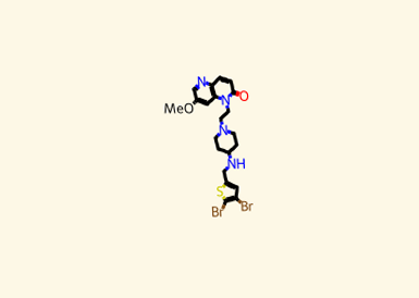 COc1cnc2ccc(=O)n(CCN3CCC(NCc4cc(Br)c(Br)s4)CC3)c2c1